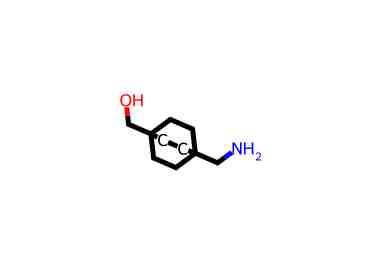 NCC12CCC(CO)(CC1)CC2